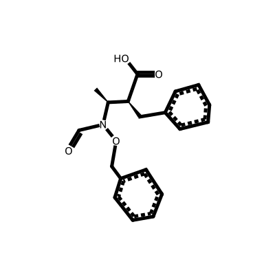 C[C@@H]([C@H](Cc1ccccc1)C(=O)O)N(C=O)OCc1ccccc1